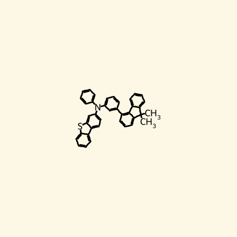 CC1(C)c2ccccc2-c2c(-c3cccc(N(c4ccccc4)c4ccc5c(c4)sc4ccccc45)c3)cccc21